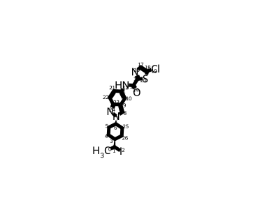 CC(I)[C@H]1CC[C@H](n2cc3cc(NC(=O)c4ncc(Cl)s4)ccc3n2)CC1